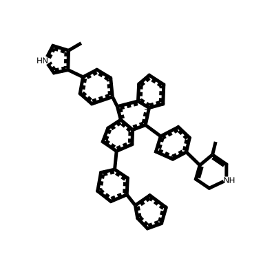 CC1=CNCC=C1c1ccc(-c2c3ccccc3c(-c3ccc(-c4c[nH]cc4C)cc3)c3ccc(-c4cccc(-c5ccccc5)c4)cc23)cc1